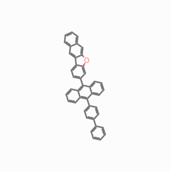 c1ccc(-c2ccc(-c3c4ccccc4c(-c4ccc5c(c4)oc4cc6ccccc6cc45)c4ccccc34)cc2)cc1